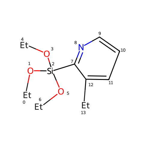 CCO[Si](OCC)(OCC)c1ncccc1CC